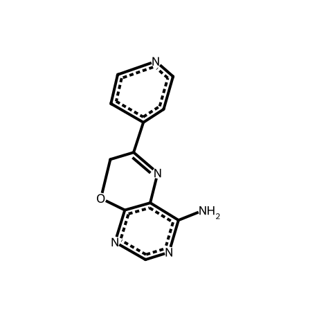 Nc1ncnc2c1N=C(c1ccncc1)CO2